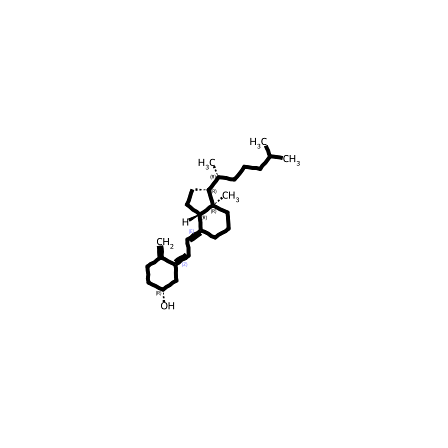 C=C1CC[C@@H](O)C/C1=C/C=C1\CCC[C@]2(C)[C@@H]([C@H](C)CCCC(C)C)CC[C@@H]12